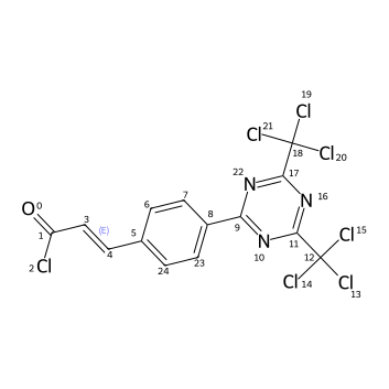 O=C(Cl)/C=C/c1ccc(-c2nc(C(Cl)(Cl)Cl)nc(C(Cl)(Cl)Cl)n2)cc1